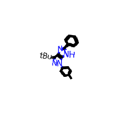 Cc1ccc(-n2nc(C(C)(C)C)c3nc(-c4ccccc4)[nH]c32)cc1